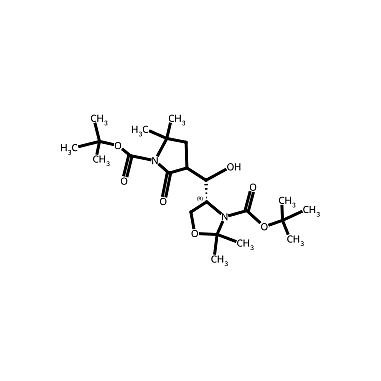 CC(C)(C)OC(=O)N1C(=O)C(C(O)[C@H]2COC(C)(C)N2C(=O)OC(C)(C)C)CC1(C)C